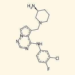 N[C@H]1CCCN(Cc2ccn3ncnc(Nc4ccc(F)c(Cl)c4)c23)C1